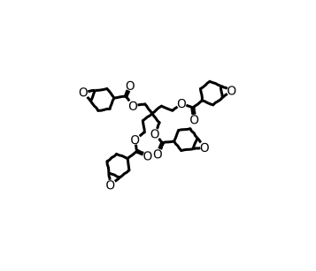 O=C(OCCC(CCOC(=O)C1CCC2OC2C1)(COC(=O)C1CCC2OC2C1)COC(=O)C1CCC2OC2C1)C1CCC2OC2C1